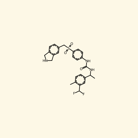 Cc1ccc(C(C)NC(=O)Nc2ccc(S(=O)(=O)Cc3ccc4c(c3)CNC4)cc2)cc1C(F)F